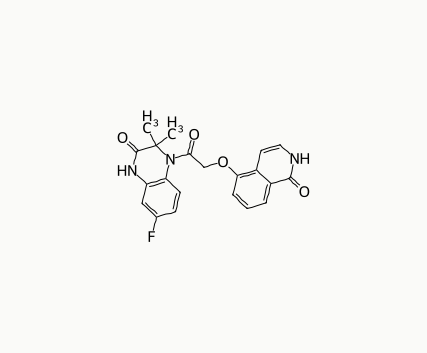 CC1(C)C(=O)Nc2cc(F)ccc2N1C(=O)COc1cccc2c(=O)[nH]ccc12